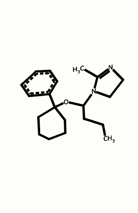 CCCC(OC1(c2ccccc2)CCCCC1)N1CCN=C1C